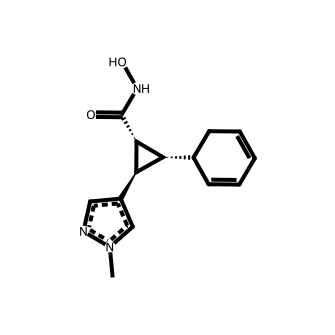 Cn1cc([C@H]2[C@H](C(=O)NO)[C@@H]2C2C=CC=CC2)cn1